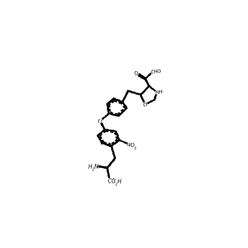 NC(Cc1ccc(Oc2ccc(CC3OCNC3C(=O)C=O)cc2)cc1[N+](=O)[O-])C(=O)O